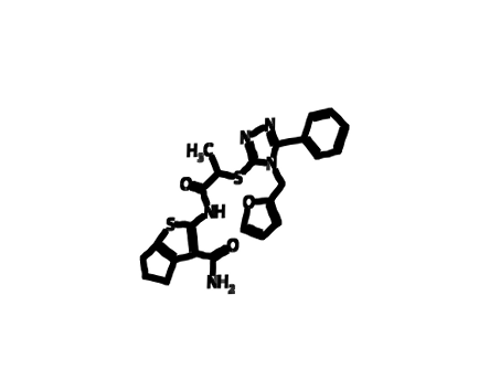 CC(Sc1nnc(-c2ccccc2)n1Cc1ccco1)C(=O)Nc1sc2c(c1C(N)=O)CCC2